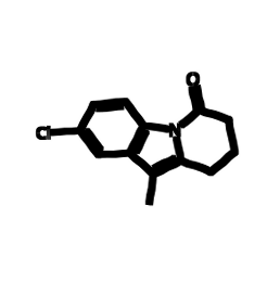 Cc1c2n(c3ccc(Cl)cc13)C(=O)CCC2